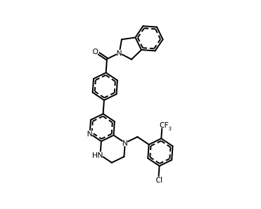 O=C(c1ccc(-c2cnc3c(c2)N(Cc2cc(Cl)ccc2C(F)(F)F)CCN3)cc1)N1Cc2ccccc2C1